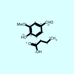 CCCC(=O)O.COc1cc(C=O)ccc1O